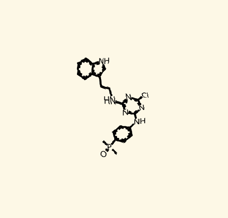 CP(C)(=O)c1ccc(Nc2nc(Cl)nc(NCCc3c[nH]c4ccccc34)n2)cc1